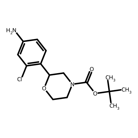 CC(C)(C)OC(=O)N1CCOC(c2ccc(N)cc2Cl)C1